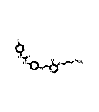 COCCCOc1ccnc(CSc2ccc(NC(=O)Nc3ccc(F)cc3)cc2)c1C